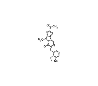 Cn1c2nc([S+](C)[O-])sc2c2cnn(Cc3cccc4c3CCN4)c(=O)c21